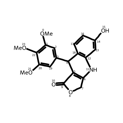 COc1cc(C2C3=C(COC3=O)Nc3cc(O)ccc32)cc(OC)c1OC